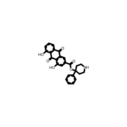 O=C(OC1(c2ccccc2)CCNCC1)c1cc(O)c2c(c1)C(=O)c1cccc(O)c1C2=O